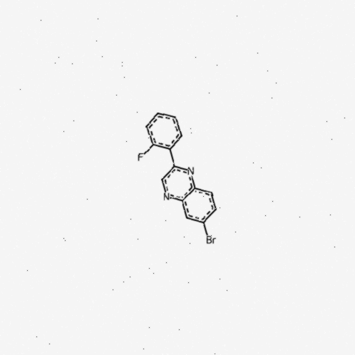 Fc1ccccc1-c1cnc2cc(Br)ccc2n1